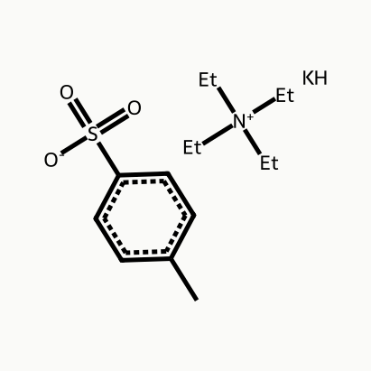 CC[N+](CC)(CC)CC.Cc1ccc(S(=O)(=O)[O-])cc1.[KH]